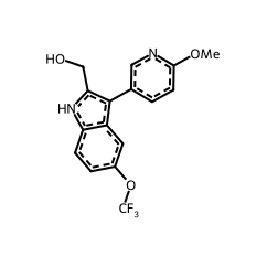 COc1ccc(-c2c(CO)[nH]c3ccc(OC(F)(F)F)cc23)cn1